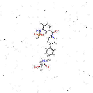 Cc1ccc(C(=O)N2CCC(c3ccc(CNC(=O)C(C)(C)O)cc3)CC2)cc1NS(C)(=O)=O